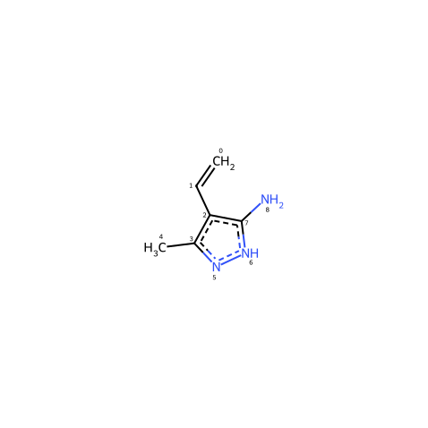 C=Cc1c(C)n[nH]c1N